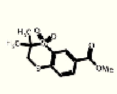 COC(=O)c1ccc2c(c1)S(=O)(=O)C(C)(C)CS2